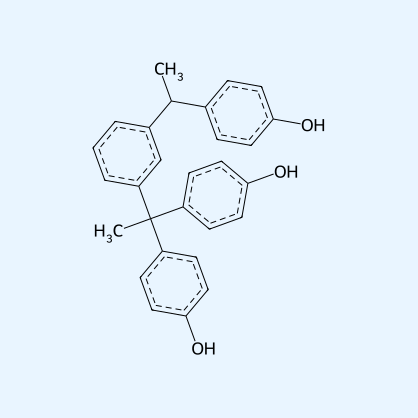 CC(c1ccc(O)cc1)c1cccc(C(C)(c2ccc(O)cc2)c2ccc(O)cc2)c1